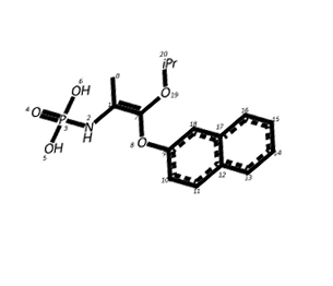 CC(NP(=O)(O)O)=C(Oc1ccc2ccccc2c1)OC(C)C